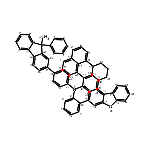 CC1(c2ccccc2)c2ccccc2-c2ccc(-c3ccc(N(c4ccccc4-c4ccc5c(c4)oc4ccccc45)c4ccccc4-c4cccc5cccc(C6CCCCC6)c45)cc3)cc21